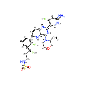 CC1COCCN1c1nc(-c2cnc(N)cc2F)nc2ccc(-c3cccc(C(F)CCN[SH](=O)=O)c3F)nc12